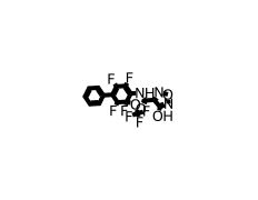 O=C(NC1=C(F)C(F)=C(c2ccccc2)C(F)C1(F)OC(F)(F)F)c1nonc1O